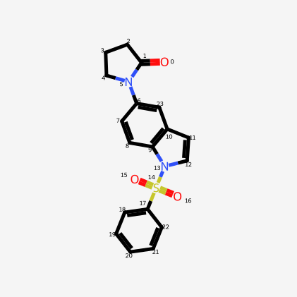 O=C1CCCN1c1ccc2c(ccn2S(=O)(=O)c2ccccc2)c1